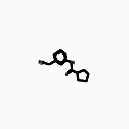 NCc1cccc(NC(=O)N2CCCC2)c1